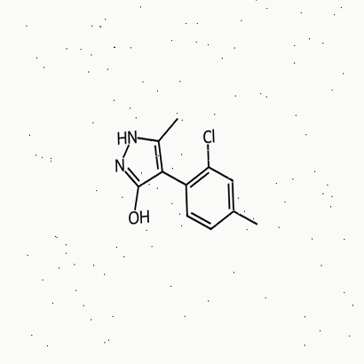 Cc1ccc(-c2c(O)n[nH]c2C)c(Cl)c1